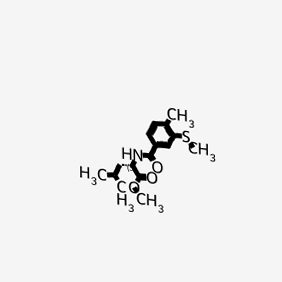 COC(=O)[C@H](CC(C)C)NC(=O)c1ccc(C)c(SC)c1